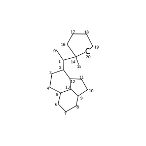 CC(C1CCC2CCCC3CCC1C32)C1(C)CCCCC1